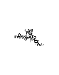 CC(=O)OCc1ccc(NC(=O)C(CCCNC(N)=O)NC(=O)CNC(=O)CCCCC(=O)C(C)C)cc1